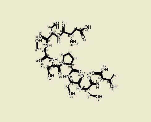 C[C@@H](O)[C@H](NC(=O)[C@H](CO)NC(=O)[C@H](CO)NC(=O)[C@@H]1CCCN1C(=O)[C@@H](NC(=O)[C@H](CO)NC(=O)[C@H](CO)NC(=O)[C@@H](N)CC(=O)O)[C@@H](C)O)C(=O)O